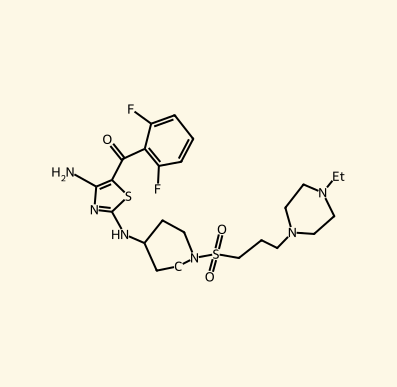 CCN1CCN(CCCS(=O)(=O)N2CCC(Nc3nc(N)c(C(=O)c4c(F)cccc4F)s3)CC2)CC1